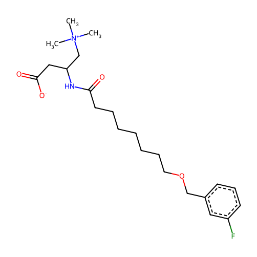 C[N+](C)(C)CC(CC(=O)[O-])NC(=O)CCCCCCCOCc1cccc(F)c1